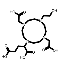 O=C(O)CCC(C(=O)O)N1CCN(CC(=O)O)CCN(CCO)CCN(CC(=O)O)CC1